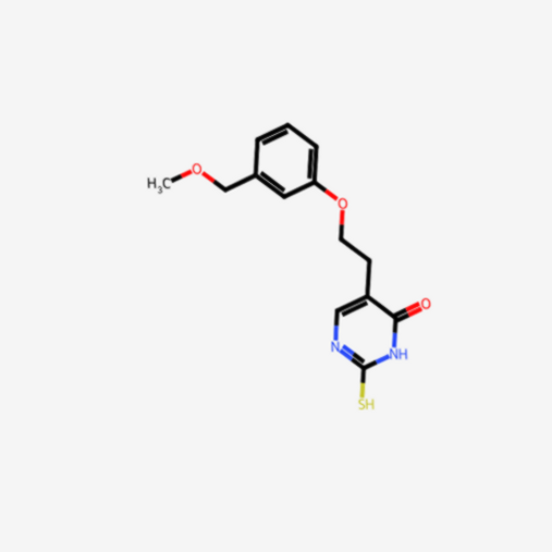 COCc1cccc(OCCc2cnc(S)[nH]c2=O)c1